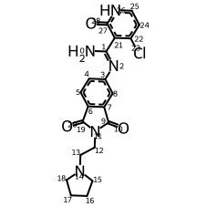 N/C(=N\c1ccc2c(c1)C(=O)N(CCN1CCCC1)C2=O)c1c(Cl)cc[nH]c1=O